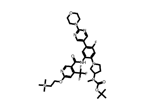 CN(C(=O)OC(C)(C)C)C1CCN(c2cc(F)c(-c3cnc(N4CCOCC4)nc3)cc2NC(=O)c2cnc(OCC[Si](C)(C)C)cc2C(F)(F)F)C1